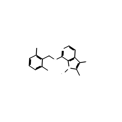 CCCn1c(C)c(C=O)c2ccnc(NCc3c(C)cccc3C)c21